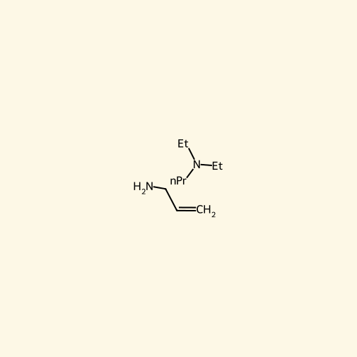 C=CCN.CCCN(CC)CC